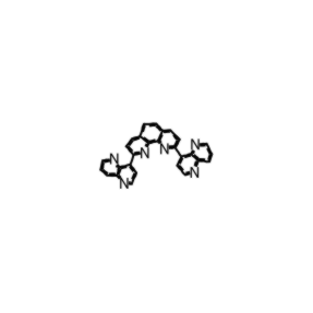 c1cnc2c(-c3ccc4ccc5ccc(-c6ccnc7cccnc67)nc5c4n3)ccnc2c1